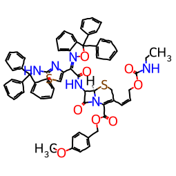 CCNC(=O)OC/C=C\C1=C(C(=O)OCc2ccc(OC)cc2)N2C(=O)C(NC(=O)/C(=N\OC(c3ccccc3)(c3ccccc3)c3ccccc3)c3csc(NC(c4ccccc4)(c4ccccc4)c4ccccc4)n3)[C@H]2SC1